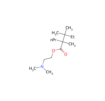 CCCC(C)(C(=O)OCCN(C)C)C(C)(C)CC